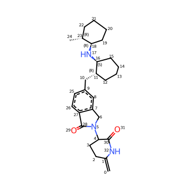 C=C1CCC(N2Cc3cc(C[C@H]4CCCC[C@@H]4N[C@@H]4CCCC[C@H]4C)ccc3C2=O)C(=O)N1